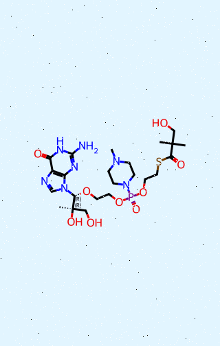 CN1CCN(P(=O)(OCCO[C@@H](n2cnc3c(=O)[nH]c(N)nc32)[C@](C)(O)CO)OCCSC(=O)C(C)(C)CO)CC1